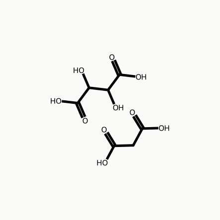 O=C(O)C(O)C(O)C(=O)O.O=C(O)CC(=O)O